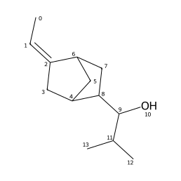 CC=C1CC2CC1CC2C(O)C(C)C